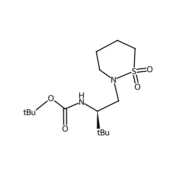 CC(C)(C)OC(=O)N[C@@H](CN1CCCCS1(=O)=O)C(C)(C)C